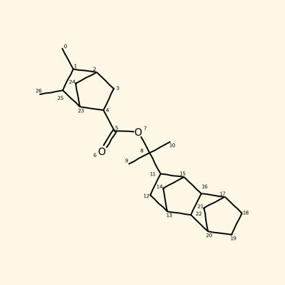 CC1C2CC(C(=O)OC(C)(C)C3CC4CC3C3C5CCC(C5)C43)C(C2)C1C